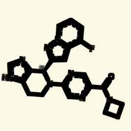 O=C(c1cnc(N2CCc3[nH]cnc3[C@H]2c2cc3c(F)cccn3n2)cn1)N1CCC1